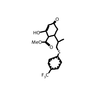 COC(=O)C1C(O)=CC(=O)CC1C(C)CSc1ccc(C(F)(F)F)cc1